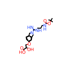 CC(C)(C)OC(=O)NCCCNC(=N)N1Cc2ccc(OC[C@@H](O)C(=O)O)cc2C1